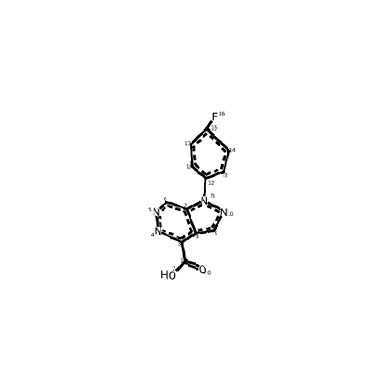 O=C(O)c1nncc2c1cnn2-c1ccc(F)cc1